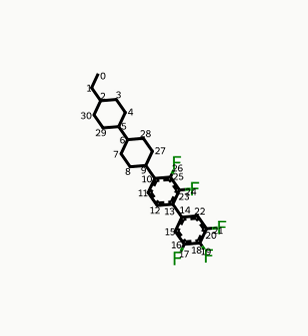 CCC1CCC(C2CCC(c3ccc(-c4cc(F)c(F)c(F)c4)c(F)c3F)CC2)CC1